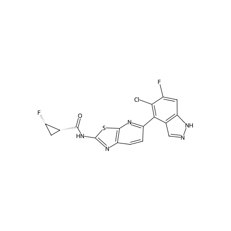 O=C(Nc1nc2ccc(-c3c(Cl)c(F)cc4[nH]ncc34)nc2s1)[C@@H]1C[C@@H]1F